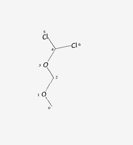 COCOC(Cl)Cl